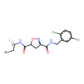 [B][C@H](CC(C)C)NC(=O)C1CC(C(=O)NCc2cc(Cl)ccc2Cl)=NO1